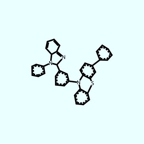 C1=CC2=NC(c3cccc(N4c5ccccc5Sc5cc(-c6ccccc6)ccc54)c3)N(c3ccccc3)C2C=C1